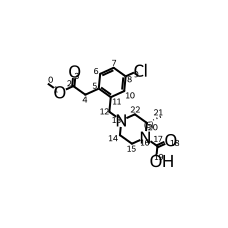 COC(=O)Cc1ccc(Cl)cc1CN1CCN(C(=O)O)[C@@H](C)C1